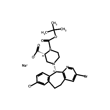 CC(C)(C)OC(=O)N1CCN([C@H]2c3ccc(Cl)cc3CCc3cc(Br)cnc32)C[C@@H]1C(=O)[O-].[Na+]